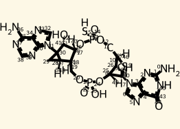 Nc1nc2c(ncn2[C@@H]2S[C@@H]3CO[P@](=O)(S)O[C@@H]4[C@@H](COP(=O)(O)O[C@@H]2[C@@H]3O)[C@@H]2CC2(n2cnc3c(N)ncnc32)[C@@H]4O)c(=O)[nH]1